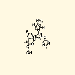 Cc1ncc(Oc2nc(N3C[C@H]4C[C@@H]3C[C@H]4N)c3c(n2)[nH]c2c(N(C)C(=O)OCO)cc(F)cc23)cn1